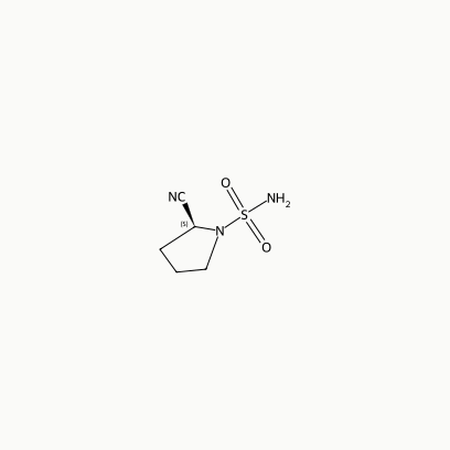 N#C[C@@H]1CCCN1S(N)(=O)=O